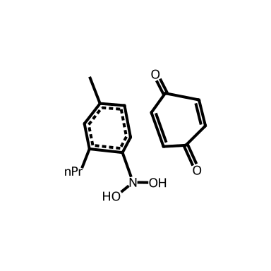 CCCc1cc(C)ccc1N(O)O.O=C1C=CC(=O)C=C1